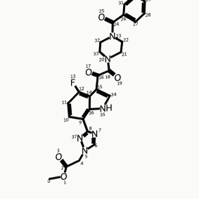 COC(=O)Cn1cnc(-c2ccc(F)c3c(C(=O)C(=O)N4CCN(C(=O)c5ccccc5)CC4)c[nH]c23)n1